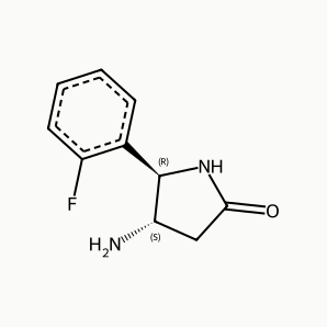 N[C@H]1CC(=O)N[C@@H]1c1ccccc1F